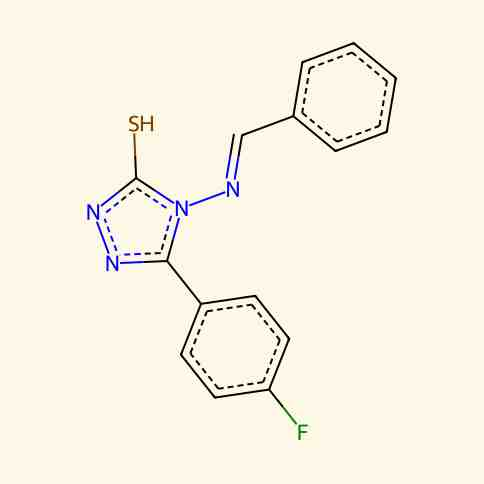 Fc1ccc(-c2nnc(S)n2/N=C/c2ccccc2)cc1